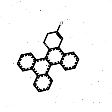 ClC1=Cc2c(c3c4ccccc4c4ccccc4c3c3ccccc23)CC1